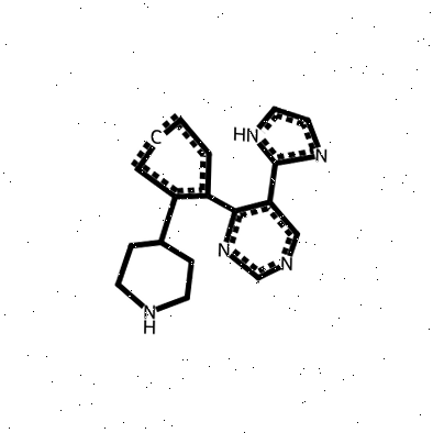 [c]1ncc(-c2ncc[nH]2)c(-c2ccccc2C2CCNCC2)n1